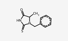 C[C]1C(=O)NC(=S)N1Cc1ccccc1